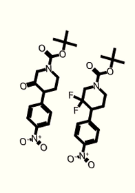 CC(C)(C)OC(=O)N1CCC(c2ccc([N+](=O)[O-])cc2)C(=O)C1.CC(C)(C)OC(=O)N1CCC(c2ccc([N+](=O)[O-])cc2)C(F)(F)C1